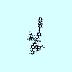 COC(=O)N[C@H](C(=O)N[C@@H](Cc1ccc(C#Cc2ccc(N3CC4CCC(C3)N4C3COC3)nc2)cc1)[C@@H](O)CN(Cc1c(F)cc(-c2ccccn2)cc1Cl)NC(=O)[C@@H](NC(=O)OC)C(C)(C)C(F)(F)F)C(C)(C)C(F)(F)F